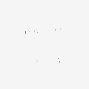 COc1cc2c(N)c[nH]c2cc1F